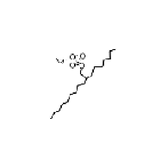 CCCCCCCCCC(CCCCCCC)COS(=O)(=O)[O-].[Na+]